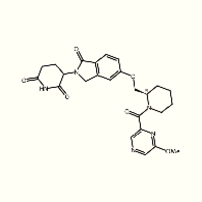 COc1cncc(C(=O)N2CCCC[C@@H]2COc2ccc3c(c2)CN(C2CCC(=O)NC2=O)C3=O)n1